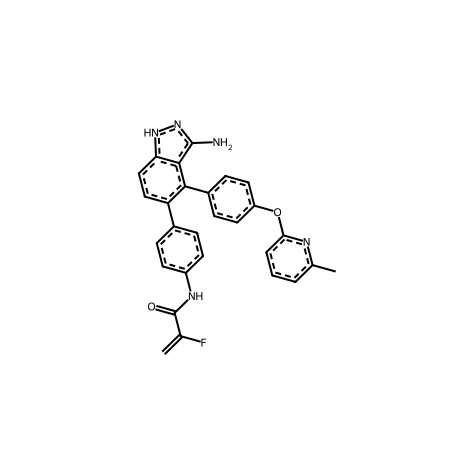 C=C(F)C(=O)Nc1ccc(-c2ccc3[nH]nc(N)c3c2-c2ccc(Oc3cccc(C)n3)cc2)cc1